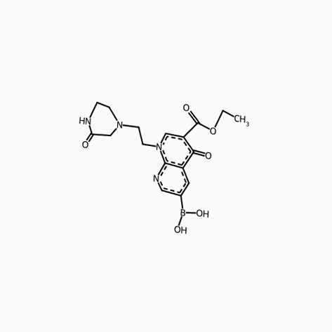 CCOC(=O)c1cn(CCN2CCNC(=O)C2)c2ncc(B(O)O)cc2c1=O